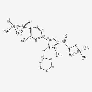 CCC(C)(C)NS(=O)(=O)c1ccc(-c2cc(C(=O)NCC(C)(C)O)c(C)n2CC2CCCCC2)cc1C(C)(C)C